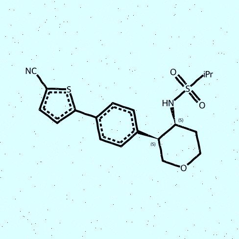 CC(C)S(=O)(=O)N[C@H]1CCOC[C@H]1c1ccc(-c2ccc(C#N)s2)cc1